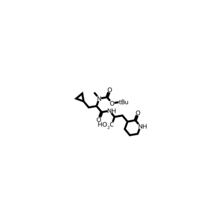 CN(C(=O)OC(C)(C)C)C(CC1CC1)C(=O)NC(CC1CCCNC1=O)C(=O)O